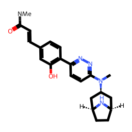 CNC(=O)/C=C/c1ccc(-c2ccc(N(C)[C@H]3C[C@H]4CC[C@@H](C3)N4)nn2)c(O)c1